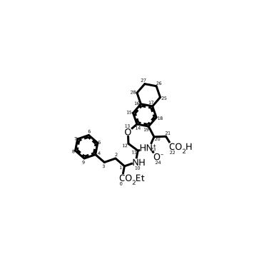 CCOC(=O)C(CCc1ccccc1)NC1COc2cc3c(cc2C(CC(=O)O)[NH+]1[O-])CCCC3